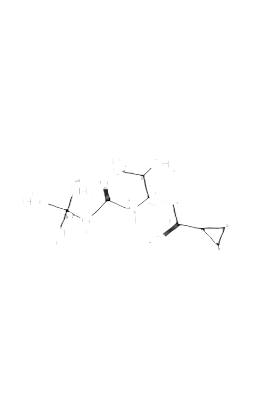 CC(C)[C@H](CC(=O)C1CC1)NC(=O)OC(C)(C)C